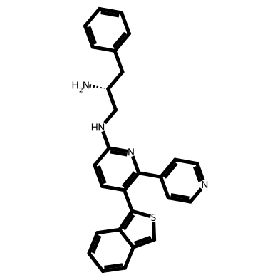 N[C@@H](CNc1ccc(-c2scc3ccccc23)c(-c2ccncc2)n1)Cc1ccccc1